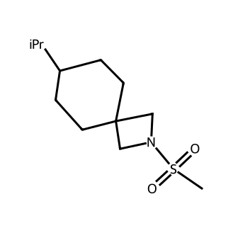 CC(C)C1CCC2(CC1)CN(S(C)(=O)=O)C2